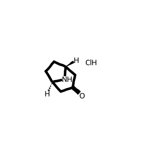 Cl.O=C1C[C@H]2CC[C@H](C1)N2